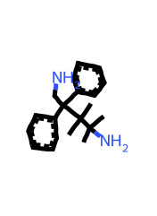 CC(C)(N)C(C)(C)C(CN)(c1ccccc1)c1ccccc1